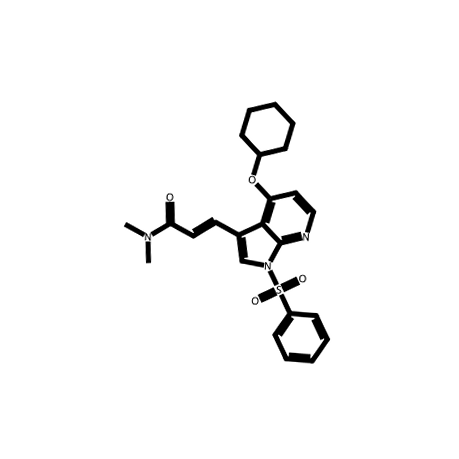 CN(C)C(=O)C=Cc1cn(S(=O)(=O)c2ccccc2)c2nccc(OC3CCCCC3)c12